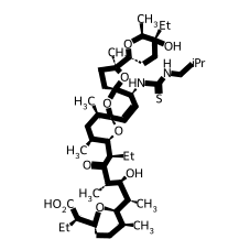 CC[C@@H](C(=O)[C@@H](C)[C@@H](O)[C@H](C)[C@@H]1O[C@@H]([C@@H](CC)C(=O)O)CC[C@@H]1C)[C@H]1O[C@]2(C=C[C@@H](NC(=S)NCC(C)C)[C@]3(CC[C@@](C)([C@H]4CC[C@](O)(CC)[C@H](C)O4)O3)O2)[C@H](C)C[C@@H]1C